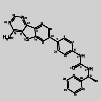 C[C@H](NC(=O)Nc1ccc(-c2ccc3c(c2)sc2c(N)ncnc23)cc1)c1ccccc1